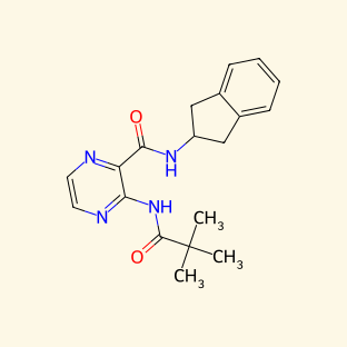 CC(C)(C)C(=O)Nc1nccnc1C(=O)NC1Cc2ccccc2C1